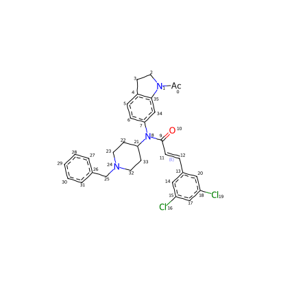 CC(=O)N1CCc2ccc(N(C(=O)/C=C/c3cc(Cl)cc(Cl)c3)C3CCN(Cc4ccccc4)CC3)cc21